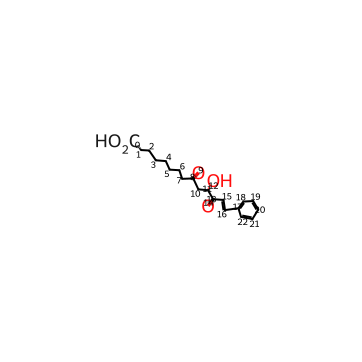 O=C(O)CCCCCCCC(=O)CC(O)C(=O)C=Cc1ccccc1